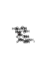 Cc1ccc(CNC(=O)N2CCC(CCCC(=O)NO)CC2)cc1.Cc1cccc(CNC(=O)N2CCC(CCCC(=O)NO)CC2)c1.Cc1ccccc1CNC(=O)N1CCC(CCCC(=O)NO)CC1.Nc1ccc(N)cc1.O=C(CCCC1CCN(C(=O)O)CC1)NO